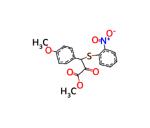 COC(=O)C(=O)C(Sc1ccccc1[N+](=O)[O-])c1ccc(OC)cc1